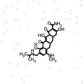 CNc1cc(CNC(C)C)c(O)c2c1CC1CC3CC(O)=C(C(N)=O)C(=O)C3C(O)=C1C2=O